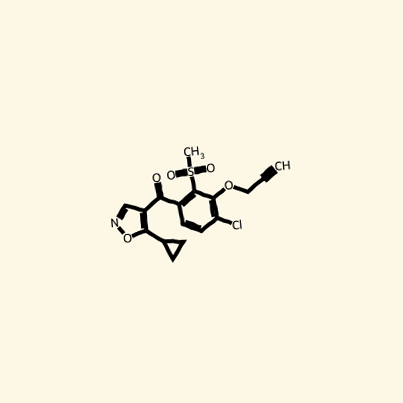 C#CCOc1c(Cl)ccc(C(=O)c2cnoc2C2CC2)c1S(C)(=O)=O